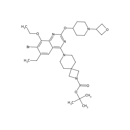 CCOc1c(Br)c(CC)cc2c(N3CCC4(CC3)CN(C(=O)OC(C)(C)C)C4)nc(OC3CCN(C4COC4)CC3)nc12